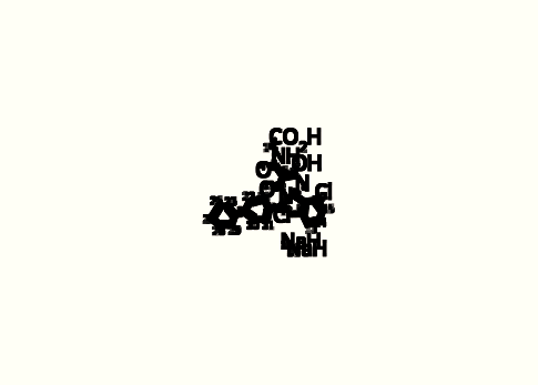 O=C(O)CNC(=O)c1c(O)nc(-c2c(Cl)cccc2Cl)n(Cc2ccc(-c3ccccc3)cc2)c1=O.[NaH].[NaH]